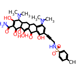 Cc1ccc(S(=O)(=O)NCC#Cc2cc(N(C)C)c3c(c2O)C(=O)C2=C(O)[C@]4(O)C(=O)C(C(N)=O)=C(O)[C@@H](N(C)C)C4CC2C3)cc1